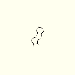 Clc1ccc2c(sc3ccccc32)c1Br